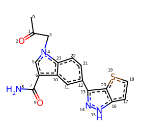 CC(=O)Cn1cc(C(N)=O)c2cc(-c3n[nH]c4ccsc34)ccc21